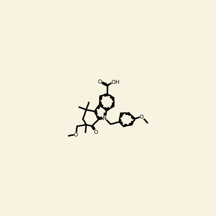 COCC1(C)CC(C)(C)c2c(n(Cc3ccc(OC)cc3)c3ccc(C(=O)O)cc23)C1=O